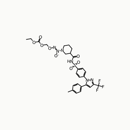 CCOC(=O)OCON=[N+]([O-])N1CCCC(C(=O)NS(=O)(=O)c2ccc(-n3nc(C(F)(F)F)cc3-c3ccc(C)cc3)cc2)C1